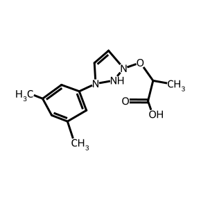 Cc1cc(C)cc(N2C=CN(OC(C)C(=O)O)N2)c1